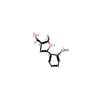 COc1ccccc1-c1cc(CO)c(C)o1